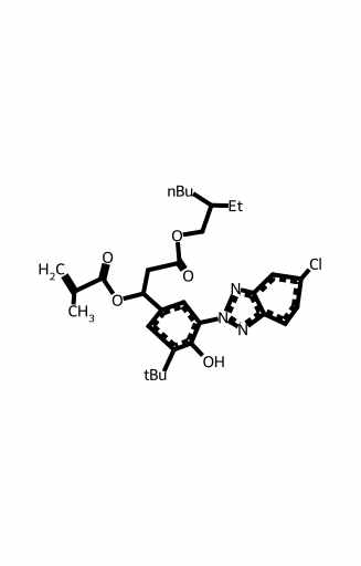 C=C(C)C(=O)OC(CC(=O)OCC(CC)CCCC)c1cc(-n2nc3ccc(Cl)cc3n2)c(O)c(C(C)(C)C)c1